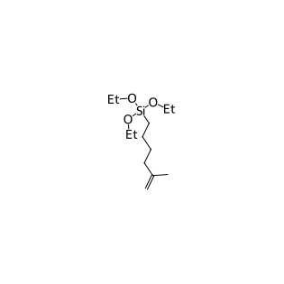 C=C(C)CCCC[Si](OCC)(OCC)OCC